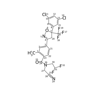 Cc1cc(C2=NOC(c3cc(Cl)cc(Cl)c3)(C(F)(F)F)C2)ccc1C(=O)N(CC#N)CC(F)F